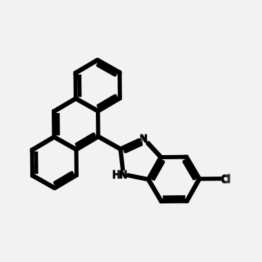 Clc1ccc2[nH]c(-c3c4ccccc4cc4ccccc34)nc2c1